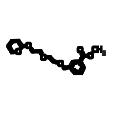 COC(=O)c1cccc(COCCOCCOC2CCCCO2)c1